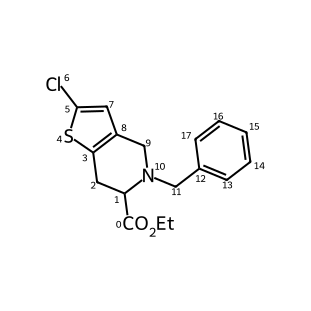 CCOC(=O)C1Cc2sc(Cl)cc2CN1Cc1ccccc1